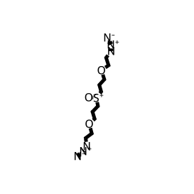 [N-]=[N+]=NCCOCCC[S+]([O-])CCCOCCN=[N+]=[N-]